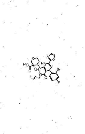 CCOC(=O)C1=C(CN2CCSCC2(C)C(=O)O)NC(c2nccs2)=N[C@H]1c1ccc(F)cc1Br